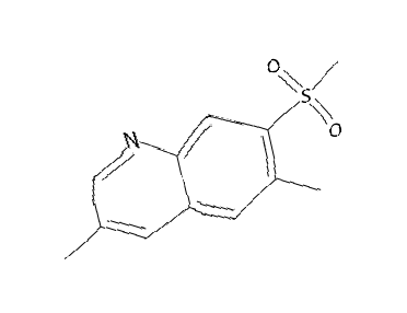 Cc1cnc2cc(S(C)(=O)=O)c(C)cc2c1